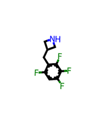 Fc1cc(F)c(CC2CNC2)c(F)c1F